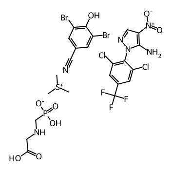 C[S+](C)C.N#Cc1cc(Br)c(O)c(Br)c1.Nc1c([N+](=O)[O-])cnn1-c1c(Cl)cc(C(F)(F)F)cc1Cl.O=C(O)CNCP(=O)([O-])O